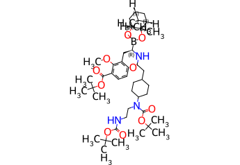 COc1c(C[C@H](NC(=O)CC2CCC(N(CCNC(=O)OC(C)(C)C)C(=O)OC(C)(C)C)CC2)B2O[C@@H]3C[C@@H]4C[C@@H](C4(C)C)[C@]3(C)O2)cccc1C(=O)OC(C)(C)C